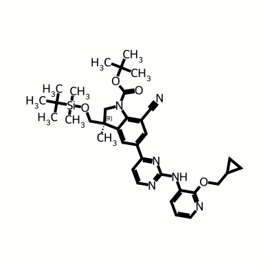 CC(C)(C)OC(=O)N1C[C@](C)(CO[Si](C)(C)C(C)(C)C)c2cc(-c3ccnc(Nc4cccnc4OCC4CC4)n3)cc(C#N)c21